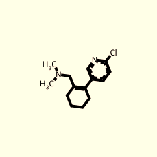 CN(C)CC1=C(c2ccc(Cl)nc2)CCCC1